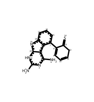 Nc1nc(N)c2c3c(C4=CC=CCC4=S)cccc3nc-2[nH]1